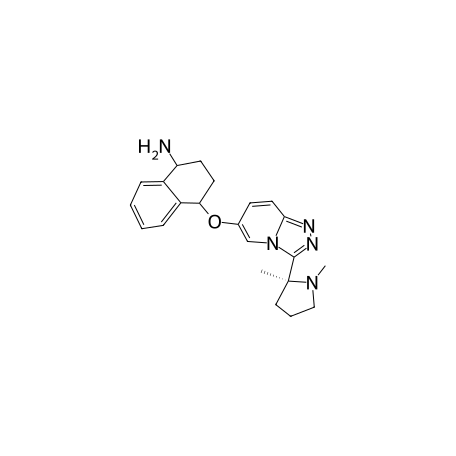 CN1CCC[C@@]1(C)c1nnc2ccc(OC3CCC(N)c4ccccc43)cn12